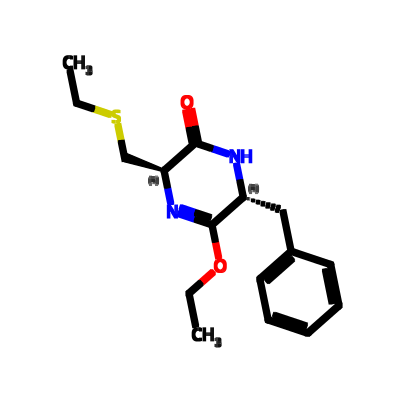 CCOC1=N[C@@H](CSCC)C(=O)N[C@@H]1Cc1ccccc1